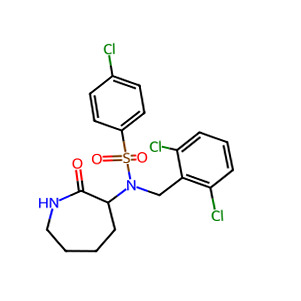 O=C1NCCCCC1N(Cc1c(Cl)cccc1Cl)S(=O)(=O)c1ccc(Cl)cc1